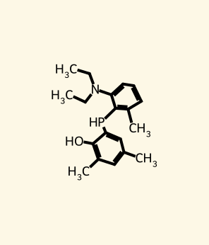 CCN(CC)c1cccc(C)c1Pc1cc(C)cc(C)c1O